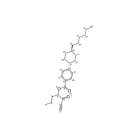 C#CC(=O)C(CCC)OC(=O)c1ccc([C@H]2CC[C@H](CCCCCC)CC2)cc1